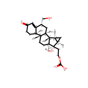 C[C@]12CC[C@H]3[C@@H](C[C@@H](CO)C4=CC(=O)CC[C@@H]43)[C@@H]1[C@H]1C[C@H]1[C@@]2(O)CCOC(=O)O